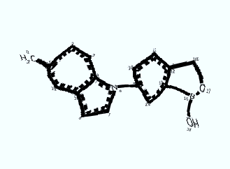 Cc1ccc2c(ccn2-c2ccc3c(c2)B(O)OC3)c1